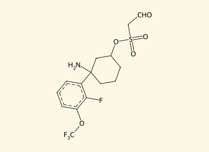 NC1(c2cccc(OC(F)(F)F)c2F)CCCC(OS(=O)(=O)CC=O)C1